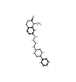 CN1C(=O)CCc2ccc(OCCCN3CCC(c4ccccc4)CC3)cc21